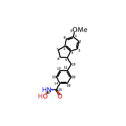 COc1ccc2c(c1)CCC2Cc1ccc(C(=O)NO)cc1